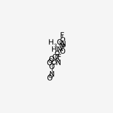 Cc1cc(F)ccc1-n1ccc(C(=O)Nc2ccc(Oc3ccnc4cc(OCCCN5CCOCC5)c5c(c34)OCCO5)c(F)c2)n1